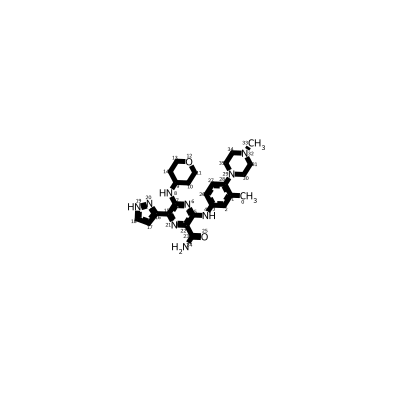 Cc1cc(Nc2nc(NC3CCOCC3)c(-c3cc[nH]n3)nc2C(N)=O)ccc1N1CCN(C)CC1